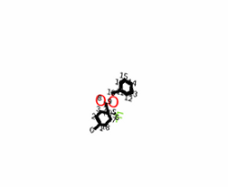 CC1=CC[C@@](CF)(C(=O)OCc2ccccc2)CC1